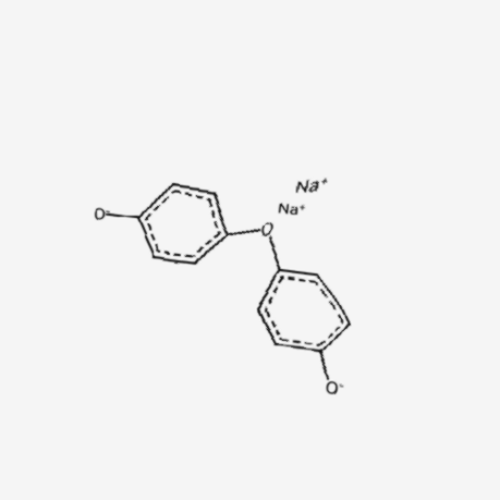 [Na+].[Na+].[O-]c1ccc(Oc2ccc([O-])cc2)cc1